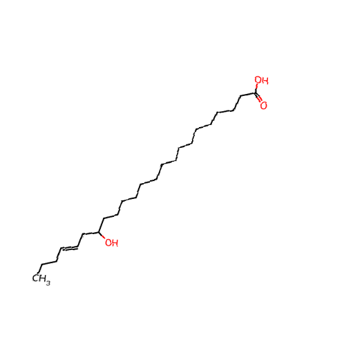 CCCC=CCC(O)CCCCCCCCCCCCCCCC(=O)O